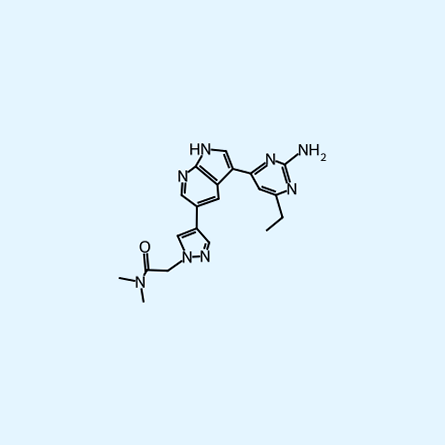 CCc1cc(-c2c[nH]c3ncc(-c4cnn(CC(=O)N(C)C)c4)cc23)nc(N)n1